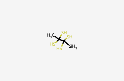 CC(S)(S)C([SiH3])(S)S